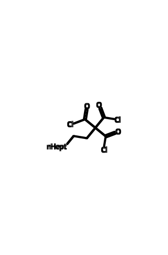 CCCCCCCCCC(C(=O)Cl)(C(=O)Cl)C(=O)Cl